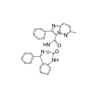 Cc1ccc2nc(-c3ccccc3)c(C(=O)N[C@H]3N=C(c4ccccc4)c4ccccc4NC3=O)n2n1